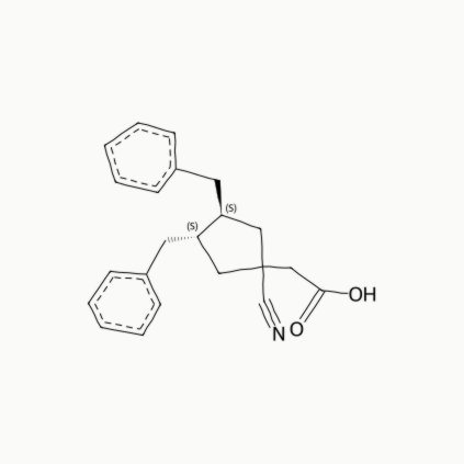 N#CC1(CC(=O)O)C[C@H](Cc2ccccc2)[C@@H](Cc2ccccc2)C1